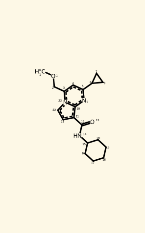 COCc1cc(C2CC2)nc2c(C(=O)NC3CCCCC3)ccn12